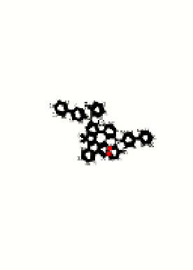 CC1(C)c2cc(N(C3=CCC(C4=CCCC=C4)CC3)c3ccccc3F)c3c(c2-c2c1c1ccccc1c1ccccc21)C1C=C(N(C2=CC=CCC2F)c2ccc(-c4ccccc4)cc2)C=CC1O3